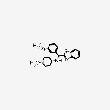 COc1cccc(C(NC2CCN(C)CC2)c2nc3ccccc3s2)c1